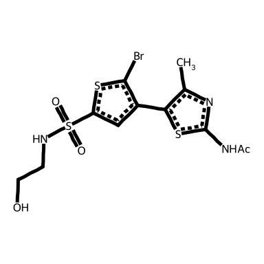 CC(=O)Nc1nc(C)c(-c2cc(S(=O)(=O)NCCO)sc2Br)s1